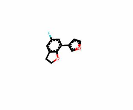 Fc1cc2c(c(-c3ccoc3)c1)O[CH]C2